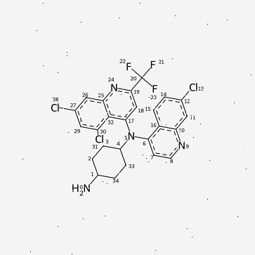 NC1CCC(N(c2ccnc3cc(Cl)ccc23)c2cc(C(F)(F)F)nc3cc(Cl)cc(Cl)c23)CC1